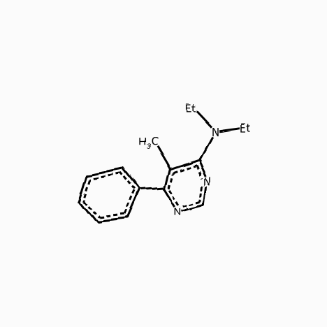 CCN(CC)c1ncnc(-c2ccccc2)c1C